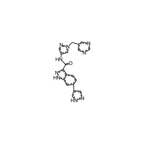 O=C(Nc1cnn(Cc2cncnc2)c1)c1n[nH]c2cc(-c3cn[nH]c3)ccc12